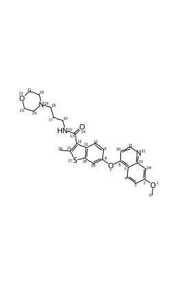 COc1ccc2c(Oc3ccc4c(C(=O)NCCCN5CCOCC5)c(C)sc4c3)ccnc2c1